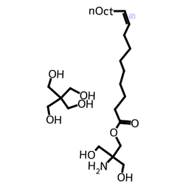 CCCCCCCC/C=C\CCCCCCCC(=O)OCC(N)(CO)CO.OCC(CO)(CO)CO